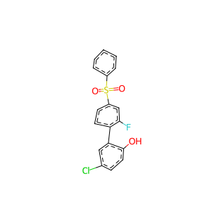 O=S(=O)(c1ccccc1)c1ccc(-c2cc(Cl)ccc2O)c(F)c1